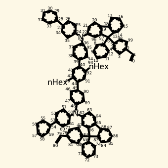 C=Cc1ccc(C2(c3ccccc3)c3ccccc3-c3ccc(N(c4ccc(-c5ccccc5)cc4)c4ccc(-c5cc(CCCCCC)c(-c6ccc(N(c7ccc(-c8ccccc8)cc7)c7ccc8c(c7)C(c7ccccc7)(c7ccc(C=C)cc7)c7ccccc7-8)cc6)cc5CCCCCC)cc4)cc32)cc1